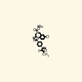 Cc1onc([C@H]2CC[C@H](c3nnc4n3-c3ccc(Cl)cc3CN(C(=O)OC(C)(C)C)C4)CC2)c1F